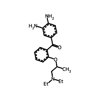 CCN(CC)CC(C)Oc1ccccc1C(=O)c1ccc(N)c(N)c1